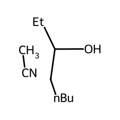 CC#N.CCCCCC(O)CC